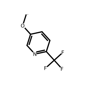 [CH2]Oc1ccc(C(F)(F)F)nc1